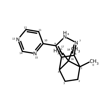 CC12CCC(c3c1n[nH]c3-c1ccncn1)C2(C)C